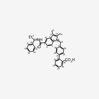 CCC(NC(=O)c1ccc2c(c1)c(C)c(C)n2Cc1ccc(-c2ccccc2C(=O)O)cc1)c1ccccc1